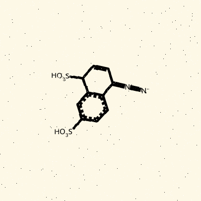 [N-]=[N+]=C1C=CC(S(=O)(=O)O)c2cc(S(=O)(=O)O)ccc21